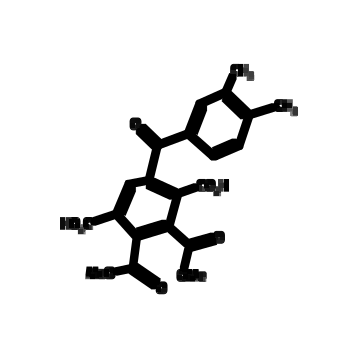 COC(=O)c1c(C(=O)O)cc(C(=O)c2ccc(C)c(C)c2)c(C(=O)O)c1C(=O)OC